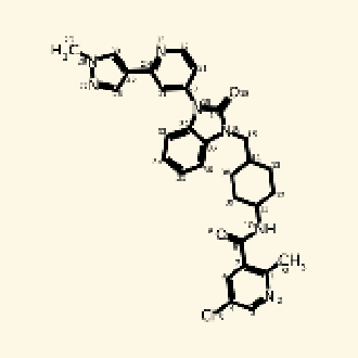 Cc1ncc(Cl)cc1C(=O)NC1CCC(Cn2c(=O)n(-c3ccnc(-c4cnn(C)c4)c3)c3ccccc32)CC1